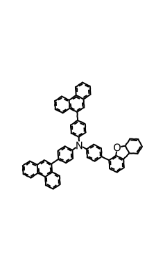 C1=CC2Oc3c(-c4ccc(N(c5ccc(-c6cc7ccccc7c7ccccc67)cc5)c5ccc(-c6cc7ccccc7c7ccccc67)cc5)cc4)cccc3C2C=C1